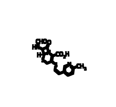 Cc1ccc(/C=C\SC2=C(C(=O)O)N3C(=O)C(NC=O)[C@@H]3SC2)cn1